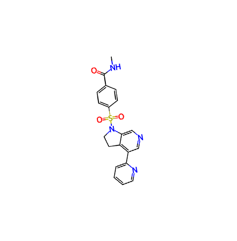 CNC(=O)c1ccc(S(=O)(=O)N2CCc3c(-c4ccccn4)cncc32)cc1